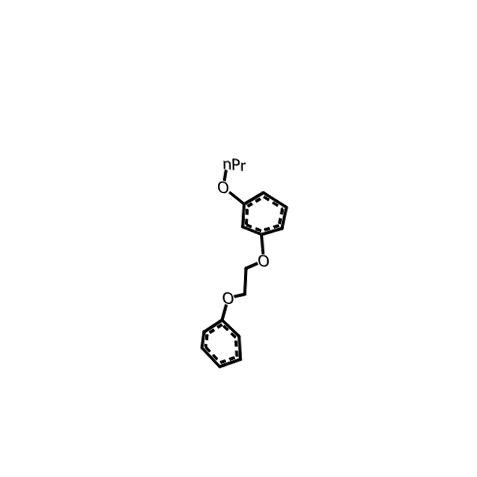 CCCOc1cccc(OCCOc2ccccc2)c1